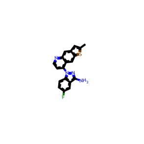 Cc1cc2cc3nccc(-n4nc(N)c5cc(F)ccc54)c3cc2s1